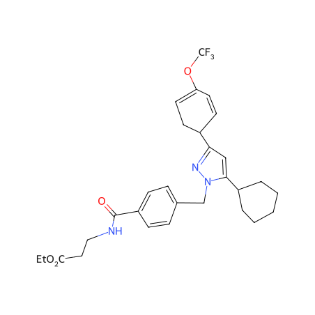 CCOC(=O)CCNC(=O)c1ccc(Cn2nc(C3C=CC(OC(F)(F)F)=CC3)cc2C2CCCCC2)cc1